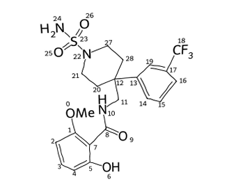 COc1cccc(O)c1C(=O)NCC1(c2cccc(C(F)(F)F)c2)CCN(S(N)(=O)=O)CC1